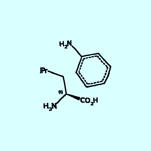 CC(C)C[C@H](N)C(=O)O.Nc1ccccc1